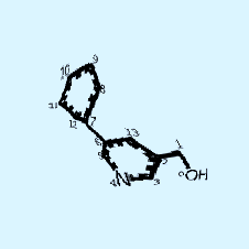 OCc1cncc(-c2ccccc2)c1